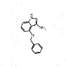 Nc1n[nH]c2cccc(OCc3ccccc3)c12